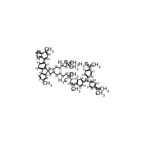 Cc1ccc2c(c1)C(CCCCCC[N+](C)(C)C)(CCCCCC[N+](C)(C)CCN(C)c1ccc(N(c3ccc(N(C)C)cc3)c3ccc(N(C)C)cc3)cc1)c1cc(-c3ccc(C)c4nsnc34)ccc1-2